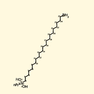 CCC[Si](O)(O)CCCCCCCCCCCCCCCCCCCCCCN